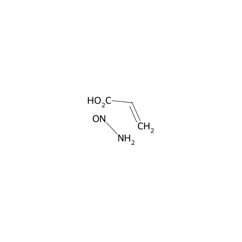 C=CC(=O)O.NN=O